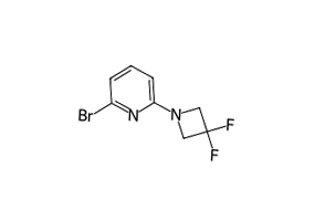 FC1(F)CN(c2cccc(Br)n2)C1